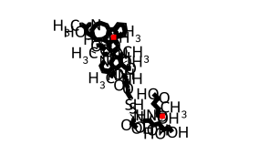 CC[C@]1(O)C[C@H]2CN(CCc3c([nH]c4ccccc34)[C@@](C(=O)OC)(c3cc4c(cc3OC)N(C)[C@H]3[C@@](O)(C(=O)NNC(=O)OCCSSC[C@H](NC(=O)[C@@H](NC(=O)[C@@H](C)CC(=O)O)[C@@H](O)[C@H](O)[C@H](O)CO)C(=O)O)[C@H](O)[C@]5(CC)C=CCN6CC[C@]43[C@@H]65)C2)C1